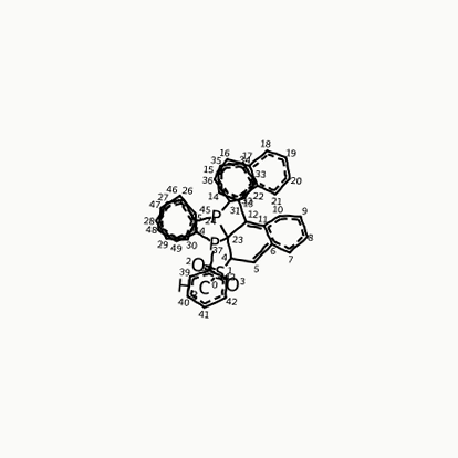 CS(=O)(=O)C1C=c2ccccc2=C(c2cccc3ccccc23)C1(P(c1ccccc1)c1ccccc1)P(c1ccccc1)c1ccccc1